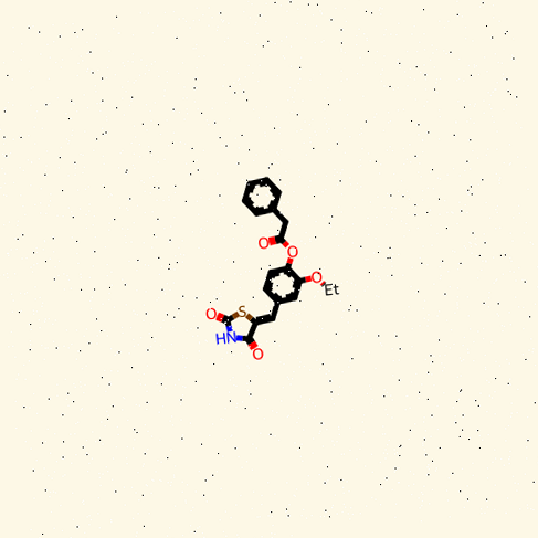 CCOc1cc(/C=C2\SC(=O)NC2=O)ccc1OC(=O)Cc1ccccc1